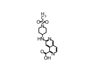 CS(=O)(=O)N1CCC(Nc2cc3c(C(=O)O)nccc3cn2)CC1